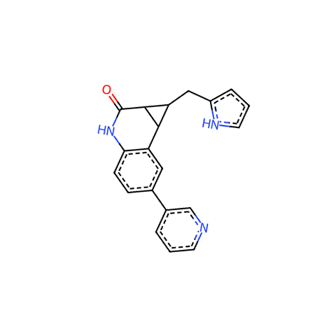 O=C1Nc2ccc(-c3cccnc3)cc2C2C(Cc3ccc[nH]3)C12